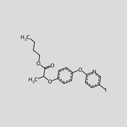 CCCCOC(=O)C(C)Oc1ccc(Oc2ccc(I)cn2)cc1